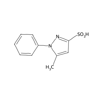 Cc1cc(S(=O)(=O)O)nn1-c1ccccc1